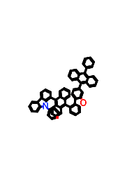 c1ccc(-c2c3ccccc3c(-c3ccc4c(c3)oc3cccc(-c5c6ccccc6c(-c6cccc7c8ccccc8n(-c8ccccc8)c67)c6ccccc56)c34)c3ccccc23)cc1